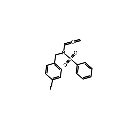 C=C=CN(Cc1ccc(F)cc1)S(=O)(=O)c1ccccc1